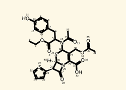 CCOC(=O)C(Cc1ccc(O)cc1)N(C(C)=O)C1S[C@@H]2[C@H](c3cccs3)C(=O)N2C(C(=O)O)=C1COC(C)=O